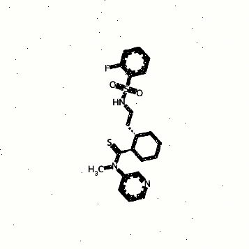 CN(C(=S)[C@@H]1CCCC[C@H]1CCNS(=O)(=O)c1ccccc1F)c1cccnc1